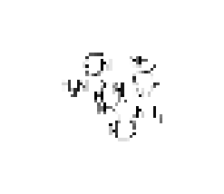 Nc1cccnc1.Nc1cccnc1-c1nnc(-c2ncccc2N)nn1